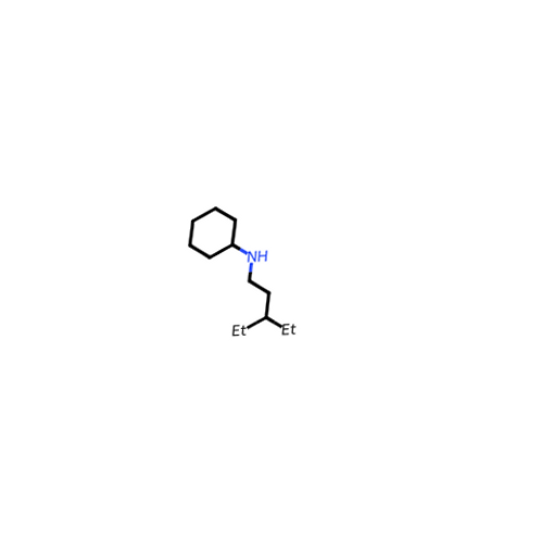 CCC(CC)CCNC1CCCCC1